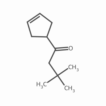 CC(C)(C)CC(=O)C1CC=CC1